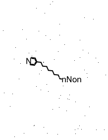 CCCCCCCCCCCCCCCC[CH]c1ccncc1